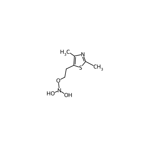 Cc1nc(C)c(CCON(O)O)s1